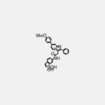 COc1ccc(-c2ccn3c(CC(=O)Nc4ccc5c(c4)S(O)(O)C=C5)c(-c4ccccc4)nc3c2)cc1